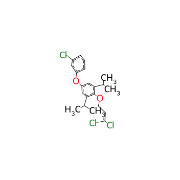 CC(C)c1cc(Oc2cccc(Cl)c2)cc(C(C)C)c1OCC=C(Cl)Cl